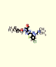 CN(C)CCn1nc(-c2cnc3c(n2)c(C=O)cn3COCC[Si](C)(C)C)c2c(F)cc(Cl)cc21